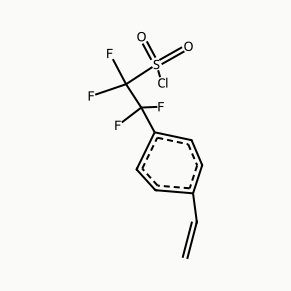 C=Cc1ccc(C(F)(F)C(F)(F)S(=O)(=O)Cl)cc1